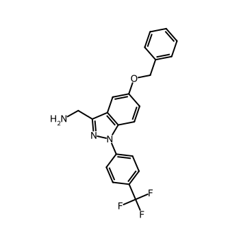 NCc1nn(-c2ccc(C(F)(F)F)cc2)c2ccc(OCc3ccccc3)cc12